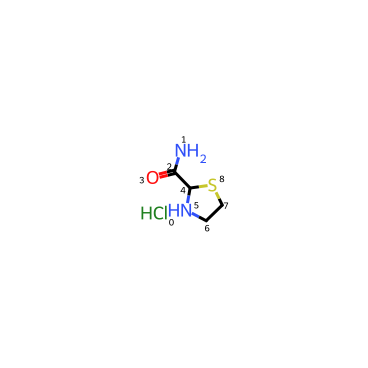 Cl.NC(=O)C1NCCS1